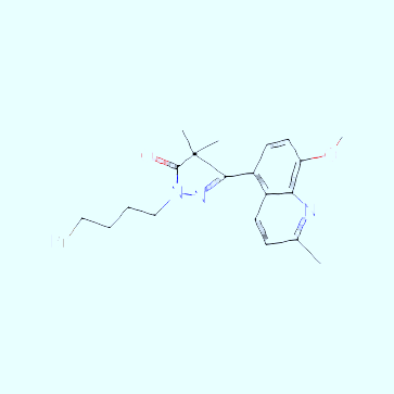 COc1ccc(C2=NN(CCCCBr)C(=O)C2(C)C)c2ccc(C)nc12